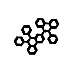 c1ccc(N2c3ccccc3-c3ccc(N4c5ccccc5-c5ccccc5P4c4ccccc4)cc3P2c2ccccc2)cc1